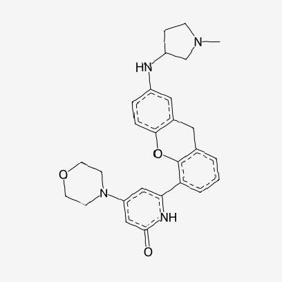 CN1CCC(Nc2ccc3c(c2)Cc2cccc(-c4cc(N5CCOCC5)cc(=O)[nH]4)c2O3)C1